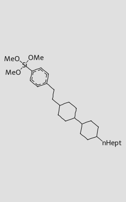 CCCCCCCC1CCC(C2CCC(CCc3ccc([Si](OC)(OC)OC)cc3)CC2)CC1